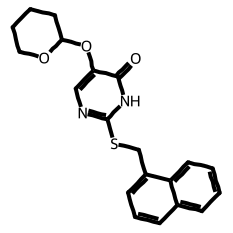 O=c1[nH]c(SCc2cccc3ccccc23)ncc1OC1CCCCO1